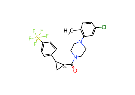 Cc1ccc(Cl)cc1N1CCN(C(=O)[C@H]2CC2c2ccc(S(F)(F)(F)(F)F)cc2)CC1